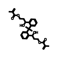 C=C(C)C(=O)OCCC(O)c1ccccc1C(C)(C)c1ccccc1C(O)CCOC(=O)C(=C)C